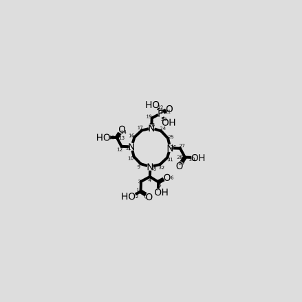 O=C(O)CC(C(=O)O)N1CCN(CC(=O)O)CCN(CP(=O)(O)O)CCN(CC(=O)O)CC1